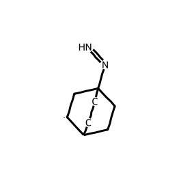 N=NC12C[CH]C(CC1)CC2